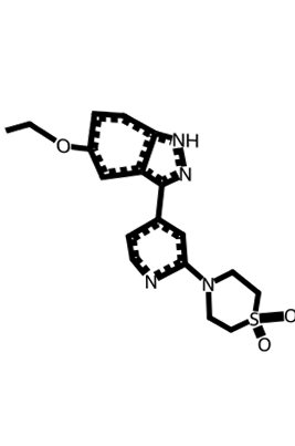 CCOc1ccc2[nH]nc(-c3ccnc(N4CCS(=O)(=O)CC4)c3)c2c1